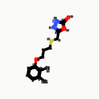 CCc1cccc(OCCCSCc2n[nH]c(=O)o2)c1CC